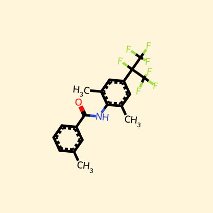 Cc1cccc(C(=O)Nc2c(C)cc(C(F)(C(F)(F)F)C(F)(F)F)cc2C)c1